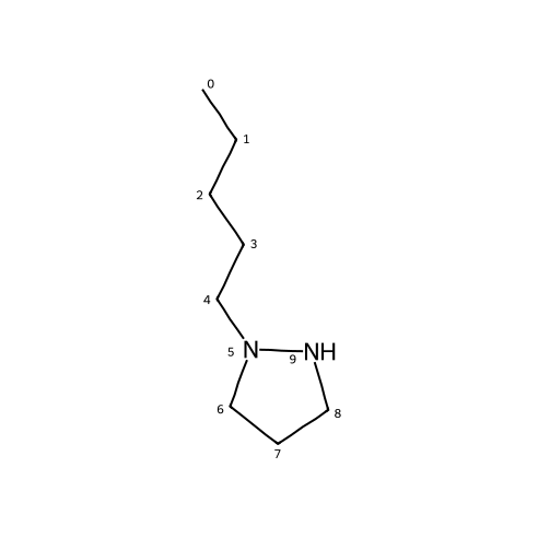 CCCCCN1CCCN1